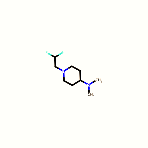 CN(C)C1CCN(CC(F)F)CC1